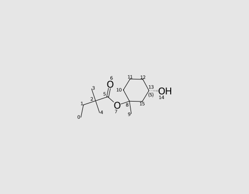 CCC(C)(C)C(=O)OC1(C)CCC[C@H](O)C1